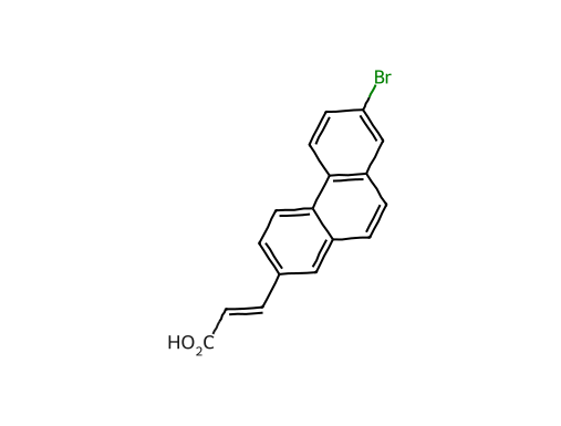 O=C(O)C=Cc1ccc2c(ccc3cc(Br)ccc32)c1